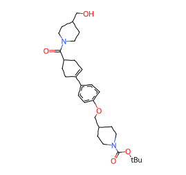 CC(C)(C)OC(=O)N1CCC(COc2ccc(C3=CCC(C(=O)N4CCC(CO)CC4)CC3)cc2)CC1